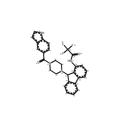 O=C(c1ccc2[nH]ccc2c1)N1CCN(C2c3ccccc3-c3cccc(NC(=O)C(F)(F)F)c32)CC1